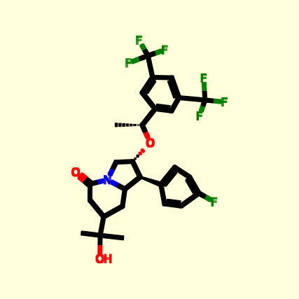 C[C@@H](O[C@H]1CN2C(=O)CC(C(C)(C)O)CC2[C@@H]1c1ccc(F)cc1)c1cc(C(F)(F)F)cc(C(F)(F)F)c1